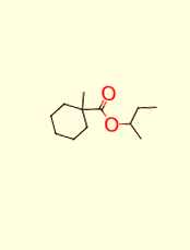 CCC(C)OC(=O)C1(C)CCCCC1